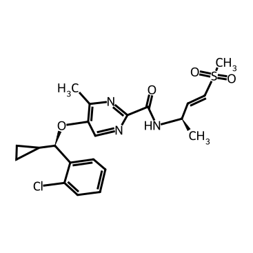 Cc1nc(C(=O)N[C@H](C)/C=C/S(C)(=O)=O)ncc1O[C@@H](c1ccccc1Cl)C1CC1